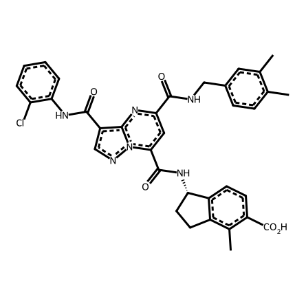 Cc1ccc(CNC(=O)c2cc(C(=O)N[C@H]3CCc4c3ccc(C(=O)O)c4C)n3ncc(C(=O)Nc4ccccc4Cl)c3n2)cc1C